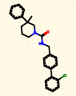 CC1(c2ccccc2)CCCN(C(=O)NCc2ccc(-c3ccccc3Cl)cc2)C1